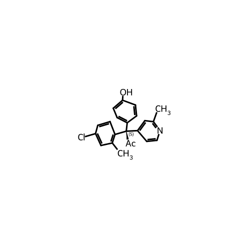 CC(=O)[C@@](c1ccc(O)cc1)(c1ccnc(C)c1)c1ccc(Cl)cc1C